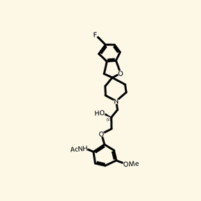 COc1ccc(NC(C)=O)c(OC[C@@H](O)CN2CCC3(CC2)Cc2cc(F)ccc2O3)c1